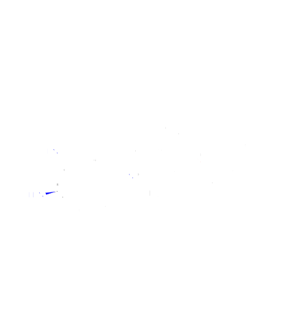 C=C(COCC(F)CC)CN(C)C1CC[C@@H](N)C(N)C1